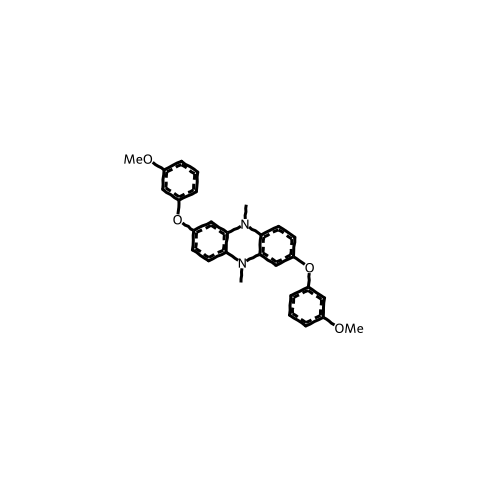 COc1cccc(Oc2ccc3c(c2)N(C)c2ccc(Oc4cccc(OC)c4)cc2N3C)c1